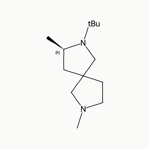 C[C@@H]1CC2(CCN(C)C2)CN1C(C)(C)C